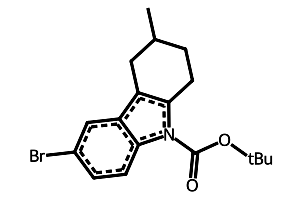 CC1CCc2c(c3cc(Br)ccc3n2C(=O)OC(C)(C)C)C1